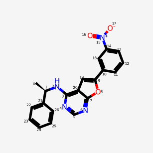 C[C@@H](Nc1ncnc2oc(-c3cccc([N+](=O)[O-])c3)cc12)c1ccccc1